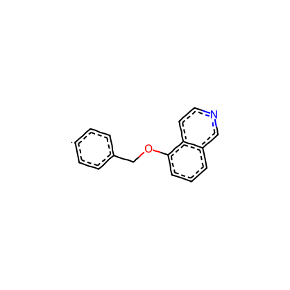 [c]1ccc(COc2cccc3cnccc23)cc1